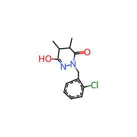 CC1C(=O)N(Cc2ccccc2Cl)N=C(O)C1C